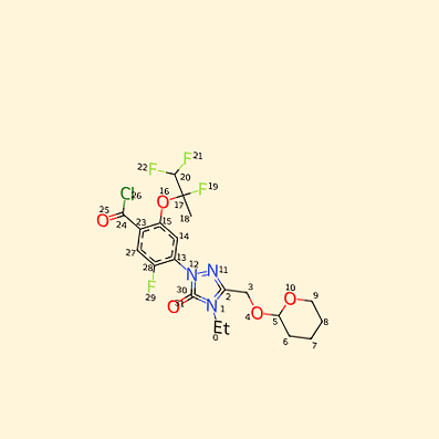 CCn1c(COC2CCCCO2)nn(-c2cc(OC(C)(F)C(F)F)c(C(=O)Cl)cc2F)c1=O